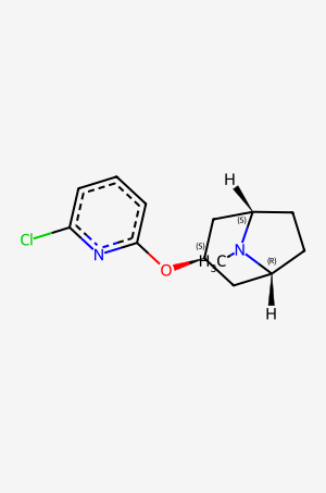 CN1[C@@H]2CC[C@H]1C[C@H](Oc1cccc(Cl)n1)C2